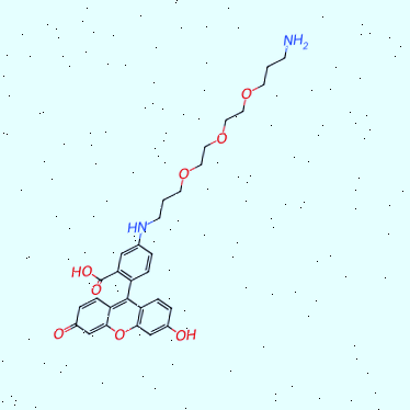 NCCCOCCOCCOCCCNc1ccc(-c2c3ccc(=O)cc-3oc3cc(O)ccc23)c(C(=O)O)c1